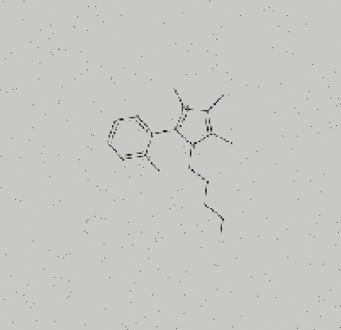 CCCCCn1c(C)c(C)[n+](C)c1-c1ccccc1C